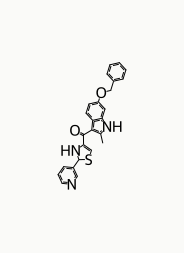 Cc1[nH]c2cc(OCc3ccccc3)ccc2c1C(=O)C1=CSC(c2cccnc2)N1